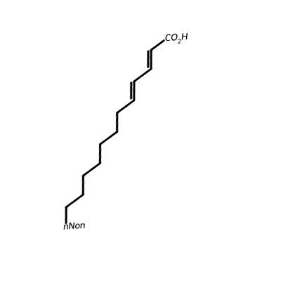 CCCCCCCCCCCCCCCCC=CC=CC(=O)O